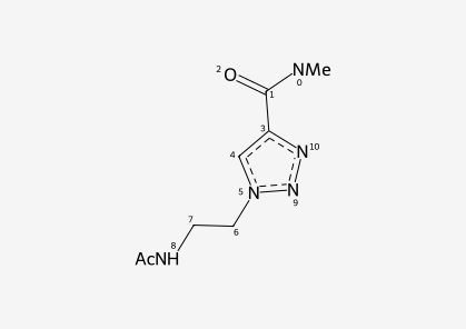 CNC(=O)c1cn(CCNC(C)=O)nn1